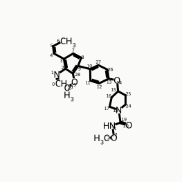 C=Nc1c(/C=C\C)ccc(-c2ccc(OC3CCN(C(=O)NOC)CC3)cc2)c1OC